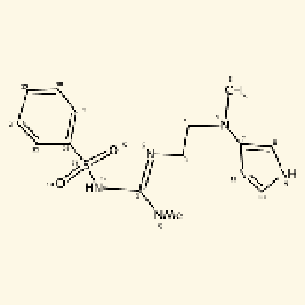 CNC(=NCCN(C)c1c[nH]cn1)NS(=O)(=O)c1ccccc1